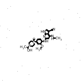 CCNc1cc(NC2C=CC(P3(=O)CCN([C@H](C)O)CC3)=CC2OC)nc2[nH]cc(C#N)c12